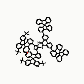 CC(C)(C)c1ccc2c(c1)C1(c3cc(C(C)(C)C)ccc3-2)c2ccccc2-c2c(-c3sc(-c4cccc5c4-c4ccccc4C54c5cc(C(C)(C)C)ccc5-c5ccc(C(C)(C)C)cc54)c4nc5c6cc(-c7cccc8c7-c7ccccc7C87c8ccccc8-c8ccccc87)ccc6c6ccc(-c7cccc8c7-c7ccccc7C87c8ccccc8-c8ccccc87)cc6c5nc34)cccc21